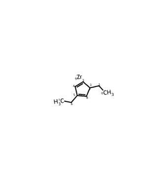 CC[C]1C=CC(CC)=C1.[Zr]